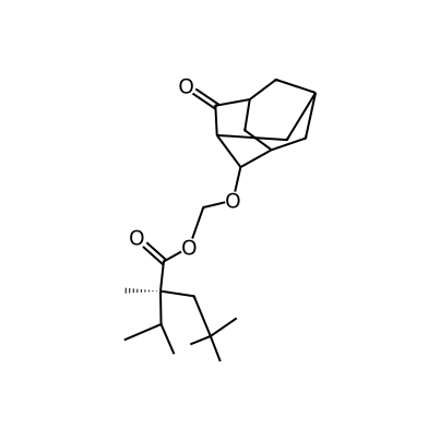 CC(C)[C@](C)(CC(C)(C)C)C(=O)OCOC1C2CC3CC(C2)C(=O)C1C3